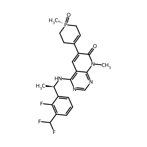 C[C@@H](Nc1ncnc2c1cc(C1=CC[P@](C)(=O)CC1)c(=O)n2C)c1cccc(C(F)F)c1F